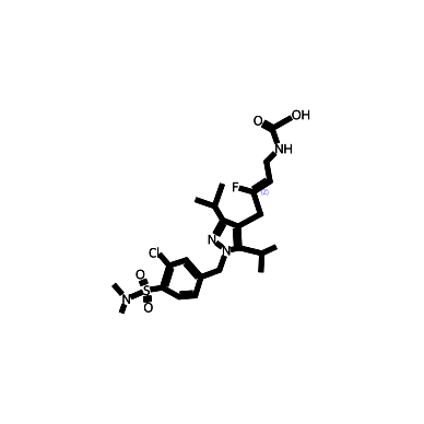 CC(C)c1nn(Cc2ccc(S(=O)(=O)N(C)C)c(Cl)c2)c(C(C)C)c1C/C(F)=C/CNC(=O)O